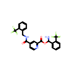 NC(OC(=O)c1cc(C(=O)NCc2ccccc2C(F)(F)F)ccn1)c1ccccc1C(F)(F)F